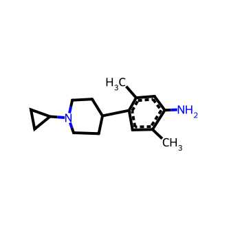 Cc1cc(C2CCN(C3CC3)CC2)c(C)cc1N